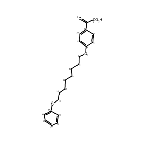 O=C(O)C(=O)c1ccc(OCCCCCCCCOc2ccccc2)cc1